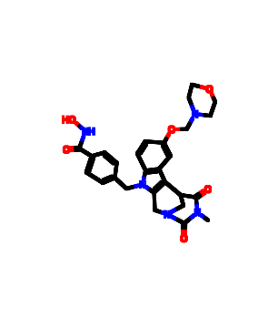 CN1C(=O)C2CN(Cc3c2c2cc(OCN4CCOCC4)ccc2n3Cc2ccc(C(=O)NO)cc2)C1=O